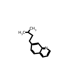 CC(C)CCc1ccc2cccnc2c1